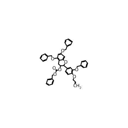 C=CCOc1ccc(C2Oc3cc(OCc4ccccc4)cc(OCc4ccccc4)c3CC2OC(=O)OCc2ccccc2)cc1OCc1ccccc1